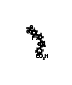 CS(=O)(=O)c1ccc(N2CCC(c3nnc(C4CCN(C(=O)O)CC4)o3)C2)c(F)c1